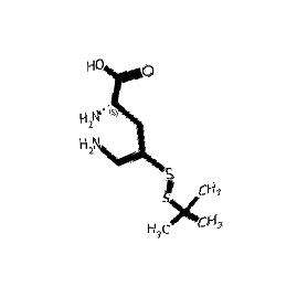 CC(C)(C)SSC(CN)C[C@H](N)C(=O)O